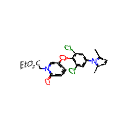 CCOC(=O)Cn1cc(Oc2c(Cl)cc(-n3c(C)ccc3C)cc2Cl)ccc1=O